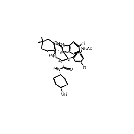 CC(=O)Nc1cc(Cl)cc([C@H]2[C@H](C(=O)N[C@H]3CC[C@H](O)CC3)NC3(CCC(C)(C)CC3)[C@@]23C(=O)Nc2cc(Cl)ccc23)c1